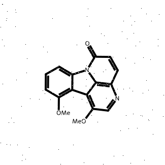 COc1cccc2c1c1c(OC)cnc3ccc(=O)n2c31